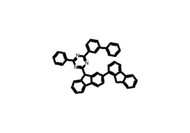 c1ccc(-c2cccc(-c3nc(-c4ccccc4)nc(C4c5ccccc5-c5ccc(-c6cccc7c6Cc6ccccc6-7)cc54)n3)c2)cc1